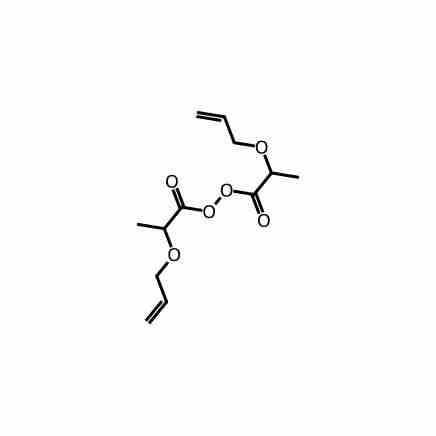 C=CCOC(C)C(=O)OOC(=O)C(C)OCC=C